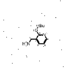 CC(C)(C)Oc1ncccc1CN